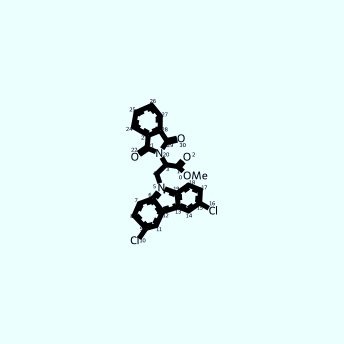 COC(=O)C(Cn1c2ccc(Cl)cc2c2cc(Cl)ccc21)N1C(=O)c2ccccc2C1=O